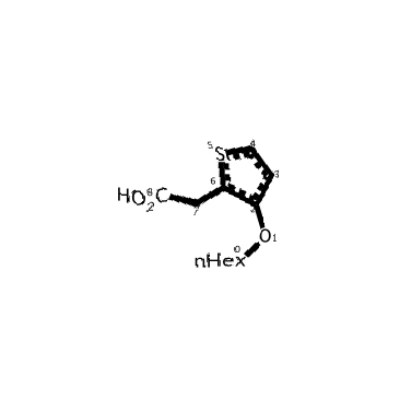 CCCCCCOc1ccsc1CC(=O)O